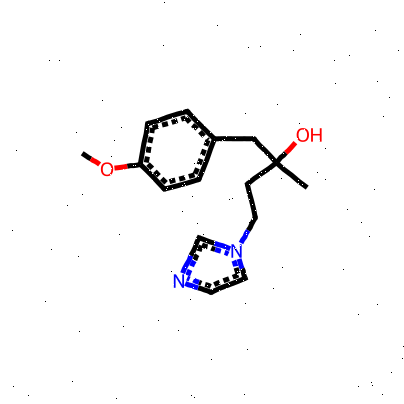 COc1ccc(CC(C)(O)CCn2ccnc2)cc1